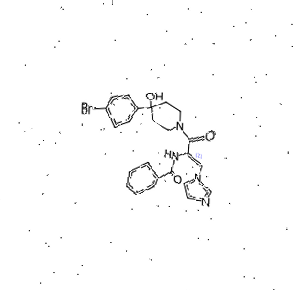 O=C(N/C(=C\n1ccnc1)C(=O)N1CCC(O)(c2ccc(Br)cc2)CC1)c1ccccc1